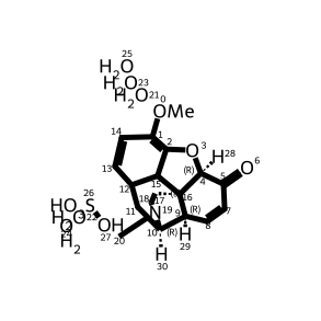 COC1=C2O[C@H]3C(=O)C=C[C@H]4[C@H]5CC(C=C1)C2[C@@]34CCN5C.O.O.O.O.O.O=S(=O)(O)O